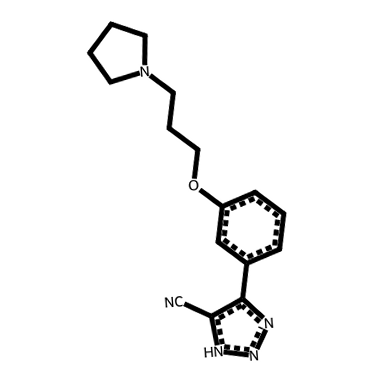 N#Cc1[nH]nnc1-c1cccc(OCCCN2CCCC2)c1